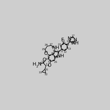 NC(=O)[C@H](Oc1cc2c3c(c(-c4ccc(-c5ncn[nH]5)c(F)c4)[nH]c3c1)NCCCO2)C1CC1